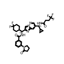 O=C(CCC(F)(F)F)N[C@@H](c1cnn2cc([C@@H](NC(=O)c3cccc(N4CCCC4=O)c3)C3CCC(F)(F)CC3)nc2c1)C1CC1